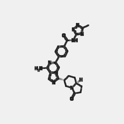 Cc1nsc(NC(=O)c2ccc(-c3cn4c([C@@H]5CC[C@H]6CCC(=O)N6C5)ncc4c(N)n3)cc2)n1